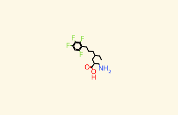 CCC(CCCc1c(F)cc(F)c(F)c1F)CC(CN)C(=O)O